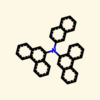 c1ccc2cc(N(c3cc4ccccc4c4ccccc34)c3cc4ccccc4c4ccccc34)ccc2c1